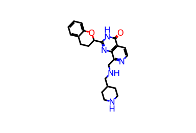 O=c1[nH]c(C2CCc3ccccc3O2)nc2c(CNCC3CCNCC3)nccc12